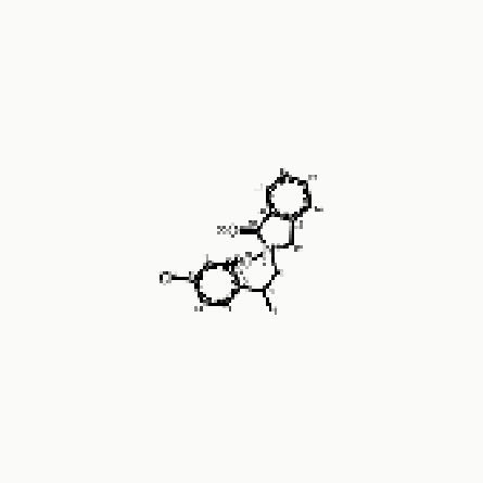 CCCC[N+]1(CC(C)c2ccc(Cl)cc2)Cc2ccccc2C1=O